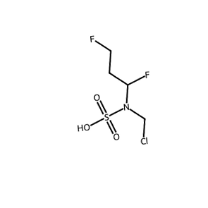 O=S(=O)(O)N(CCl)C(F)CCF